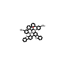 CC(C)(C)c1ccc(N2B3c4c(cc5c(oc6ccccc65)c4-c4ccc5c(sc6ccccc65)c42)N(c2ccc(C(C)(C)C)cc2-c2ccccc2)c2sc4ccccc4c23)cc1